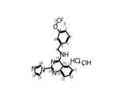 Cl.Cl.FC(F)(F)Oc1cccc(CNc2nc(-n3ccnc3)nc3ccccc23)c1